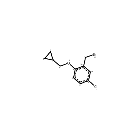 Clc1ccc(OCC2CC2)c(CBr)c1